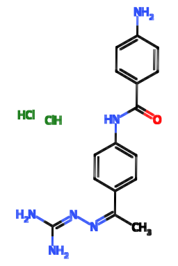 C/C(=N/N=C(N)N)c1ccc(NC(=O)c2ccc(N)cc2)cc1.Cl.Cl